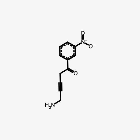 NCC#CCC(=O)c1cccc([N+](=O)[O-])c1